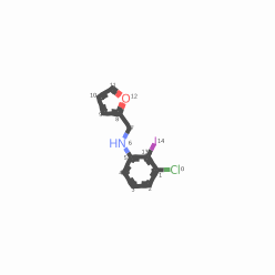 Clc1cccc(NCc2ccco2)c1I